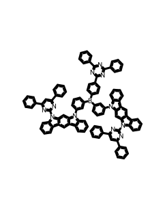 c1ccc(-c2cc(-c3ccccc3)nc(-n3c4ccccc4c4cc5c6ccccc6n(-c6cccc(B(c7ccc(-c8nc(-c9ccccc9)nc(-c9ccccc9)n8)cc7)c7cccc(-n8c9ccccc9c9cc%10c%11ccccc%11n(-c%11nc(-c%12ccccc%12)cc(-c%12ccccc%12)n%11)c%10cc98)c7)c6)c5cc43)n2)cc1